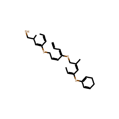 C=C/C=C(\C=C/CSC(/C=C\C)=C/C(C)CS)SC/C(C)=C\C(=C/C)SC1=CCCC=C1